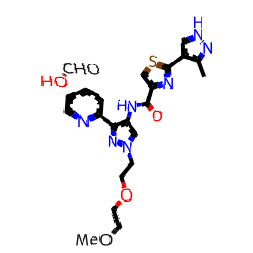 COCCOCCn1cc(NC(=O)c2csc(-c3c[nH]nc3C)n2)c(-c2ccccn2)n1.O=CO